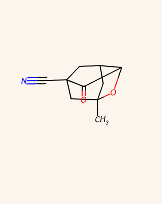 CC12CC3CC(C#N)(C1)C(=O)C3O2